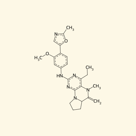 C=C1C2CCCN2c2nc(Nc3ccc(-c4cnc(C)o4)c(OC)c3)nc(CC)c2N1C